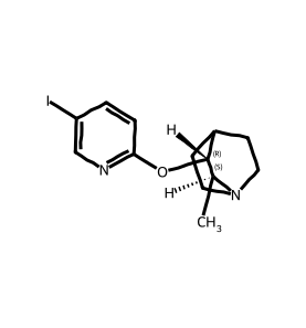 C[C@H]1[C@H](Oc2ccc(I)cn2)C2CCN1CC2